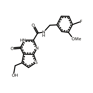 COc1cc(CNC(=O)c2nc3scc(CO)c3c(=O)[nH]2)ccc1F